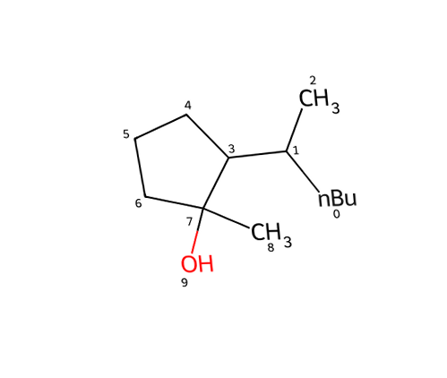 CCCCC(C)C1CCCC1(C)O